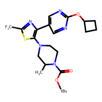 CC1CN(c2sc(C(F)(F)F)nc2-c2cnc(OC3CCC3)nc2)CCN1C(=O)OC(C)(C)C